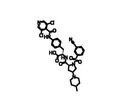 CC1CCN(C2C[C@@H](C(=O)N[C@@H](Cc3ccc(NC(=O)c4c(Cl)cncc4Cl)cc3)C(=O)O)N(S(=O)(=O)c3cccc(C#N)c3)C2)CC1